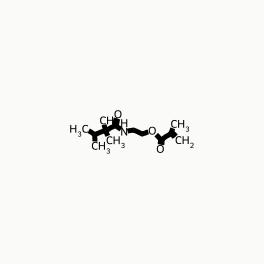 C=C(C)C(=O)OCCNC(=O)C(C)(C)C(C)C